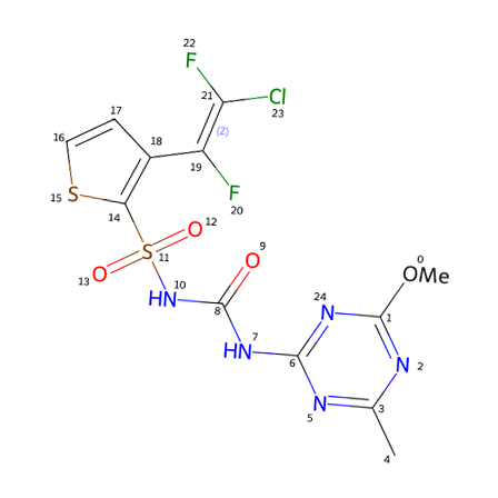 COc1nc(C)nc(NC(=O)NS(=O)(=O)c2sccc2/C(F)=C(\F)Cl)n1